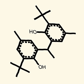 Cc1cc(C(C)c2cc(C)cc(C(C)(C)C)c2O)c(O)c(C(C)(C)C)c1